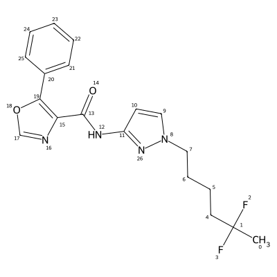 CC(F)(F)CCCCn1ccc(NC(=O)c2ncoc2-c2ccccc2)n1